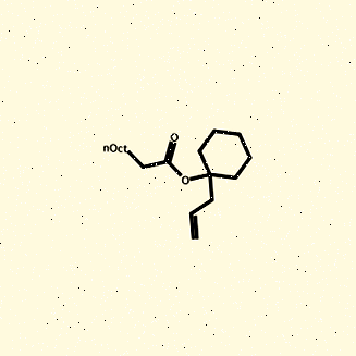 C=CCC1(OC(=O)CCCCCCCCC)CCCCC1